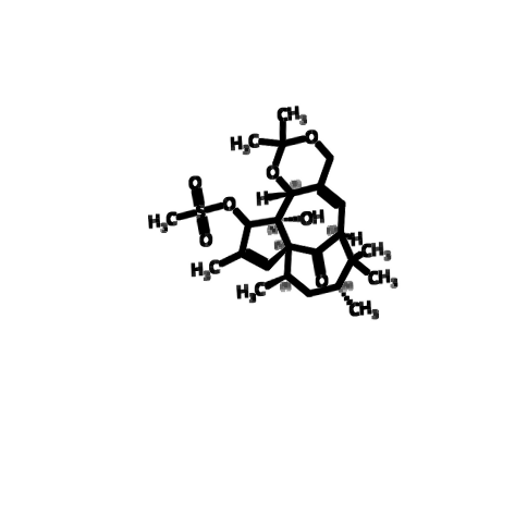 CC1=C[C@]23C(=O)[C@@H](C=C4COC(C)(C)O[C@H]4[C@]2(O)C1OS(C)(=O)=O)C(C)(C)[C@H](C)C[C@H]3C